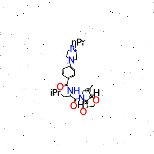 CCCN1CCN(c2ccc(C(=O)NC(CC(C)C)C(=O)N3C[C@@H](C)[C@H]4OCC(=O)[C@H]43)cc2)CC1